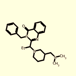 CCC(c1nc2ccccc2c(=O)n1Cc1ccccc1)N1CCCC(CN(C)C)C1